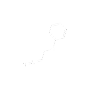 [N-]=[N+]=CCOc1ccccc1